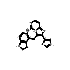 Nc1nccc2nc(-c3cnco3)c(Cc3c(F)ccc4c3CCO4)n12